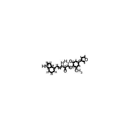 Cc1cc(-c2ccoc2)cc(C)c1OCC(=O)NN=Cc1cccc2[nH]ccc12